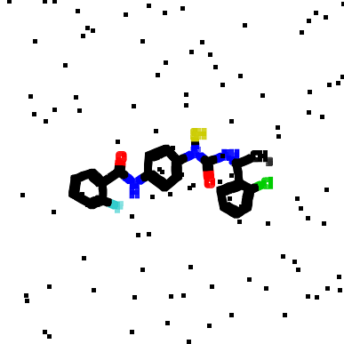 CC(NC(=O)N(S)c1ccc(NC(=O)c2ccccc2F)cc1)c1ccccc1Cl